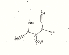 C#CC(CCCC)N(C(=O)O)C(C#C)CCCC